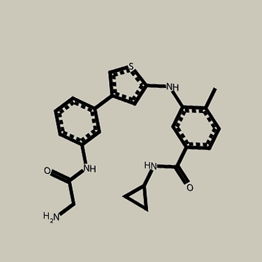 Cc1ccc(C(=O)NC2CC2)cc1Nc1cc(-c2cccc(NC(=O)CN)c2)cs1